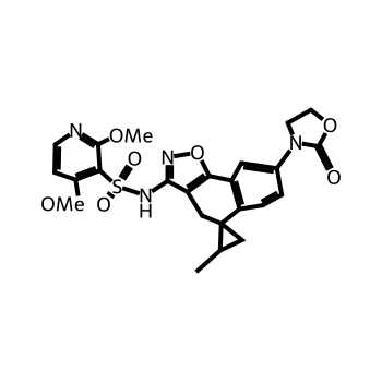 COc1ccnc(OC)c1S(=O)(=O)Nc1noc2c1CC1(CC1C)c1ccc(N3CCOC3=O)cc1-2